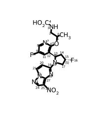 CC(CNC(=O)O)Oc1ncc(F)cc1[C@H]1C[C@H](F)CN1c1ccn2ncc([N+](=O)[O-])c2n1